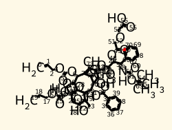 C=CCOC(=O)O[C@H]1C(=O)[C@]2(C)[C@@H](OC(=O)OCC=C)C[C@H]3OC[C@@]3(OC(C)=O)[C@H]2[C@H](OC(=O)c2ccccc2)[C@]2(O)C[C@H](OC(=O)[C@H](OC(=O)COCC(=O)O)[C@@H](NC(=O)OC(C)(C)C)c3ccccc3)C(C)=C1C2(C)C